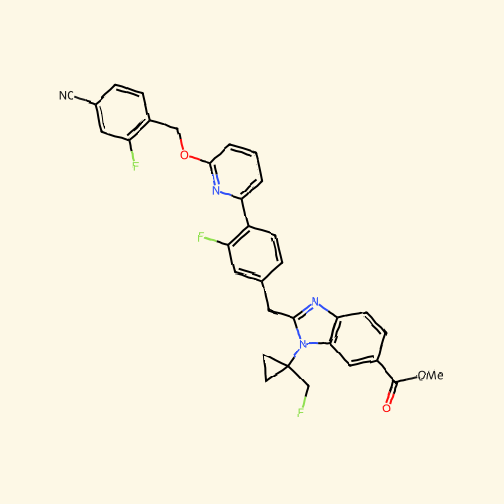 COC(=O)c1ccc2nc(Cc3ccc(-c4cccc(OCc5ccc(C#N)cc5F)n4)c(F)c3)n(C3(CF)CC3)c2c1